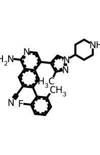 Cc1cccc(F)c1-c1cc2c(-c3cn(C4CCNCC4)nc3C)cnc(N)c2cc1C#N